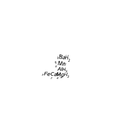 [AlH3].[BaH2].[CaH2].[Fe].[MgH2].[Mn]